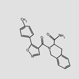 Cc1ccc(-c2oncc2C(=O)N2Cc3ccccc3CC2C(N)=O)cc1